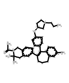 CCCN1CC[C@H](Oc2ccc(C3=C(c4ccc5c(c4)CC(C)(C)N(C(C)=O)C5)CCCc4cc(N)ccc43)cc2)C1